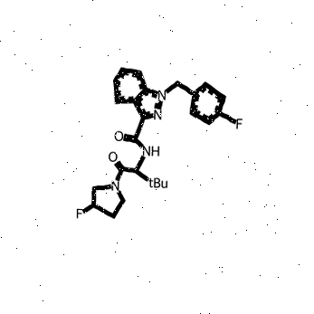 CC(C)(C)C(NC(=O)c1nn(Cc2ccc(F)cc2)c2ccccc12)C(=O)N1CCC(F)C1